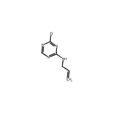 C=CCNc1n[c]nc(Cl)n1